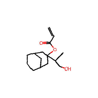 C=CC(=O)OC1(C(C)CO)CC2CCCC(C2)C1